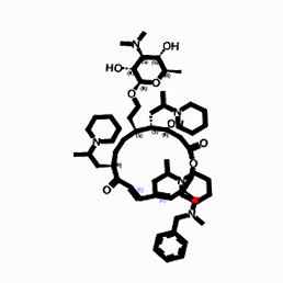 CC(CC1=C\[C@H](CN(C)Cc2ccccc2)COC(=O)C[C@@H](O)[C@@H](CC(C)N2CCCCC2)[C@H](CCO[C@@H]2O[C@H](C)[C@@H](O)[C@H](N(C)C)[C@H]2O)CC[C@H](CC(C)N2CCCCC2)C(=O)\C=C\1)N1CCCCC1